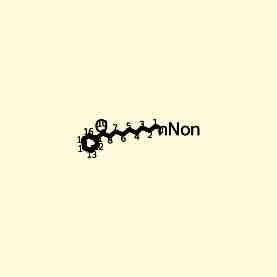 CCCCCCCCCCCCCCCCCC(=O)c1[c]cccc1